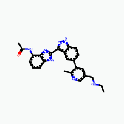 CCNCc1cnc(C)c(-c2ccc3[nH]nc(-c4nc5c(NC(C)=O)cccc5[nH]4)c3c2)c1